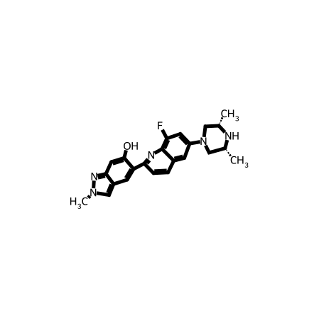 C[C@@H]1CN(c2cc(F)c3nc(-c4cc5cn(C)nc5cc4O)ccc3c2)C[C@H](C)N1